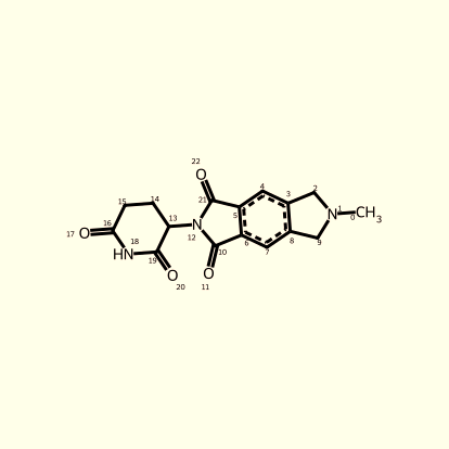 CN1Cc2cc3c(cc2C1)C(=O)N(C1CCC(=O)NC1=O)C3=O